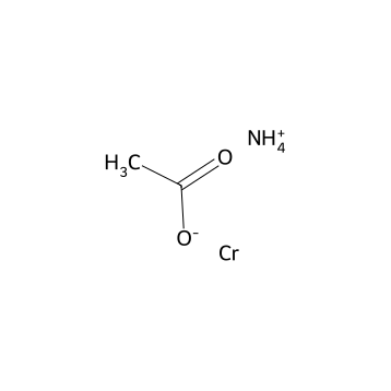 CC(=O)[O-].[Cr].[NH4+]